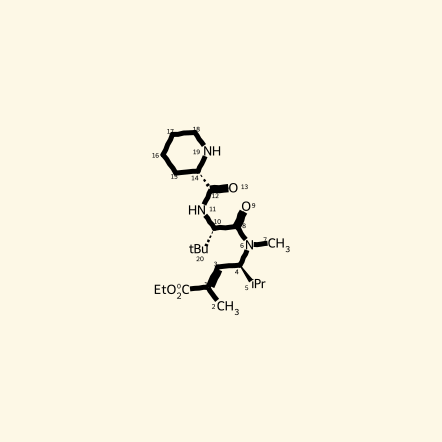 CCOC(=O)/C(C)=C/[C@H](C(C)C)N(C)C(=O)[C@@H](NC(=O)[C@@H]1CCCCN1)C(C)(C)C